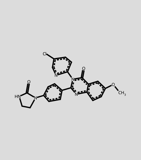 COc1ccc2nc(-c3ccc(N4CCNC4=O)cc3)n(-c3ccc(Cl)cn3)c(=O)c2c1